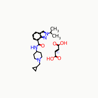 CC(C)n1cc2cccc(C(=O)NC3CCN(CC4CC4)CC3)c2n1.O=C(O)/C=C/C(=O)O